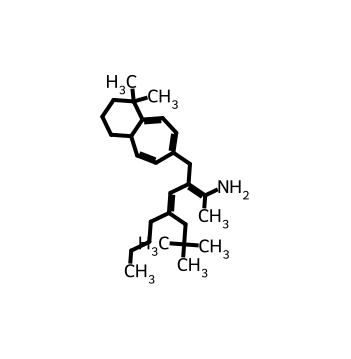 CCCC/C(=C/C(CC1=CC=C2C(C=C1)CCCC2(C)C)=C(\C)N)CC(C)(C)C